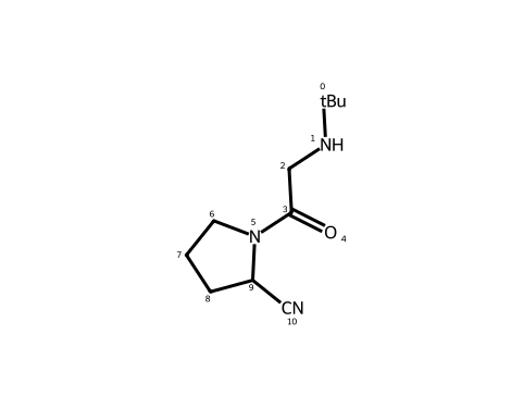 [CH2]C(C)(C)NCC(=O)N1CCCC1C#N